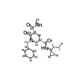 CCCC1(NC(=O)c2cc(C(=O)NC)c(=O)n(Cc3ccccc3)c2)CC1